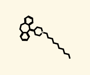 CCCCCCCCCCN1CCC(=C2c3ccccc3CCc3ccccc32)CC1